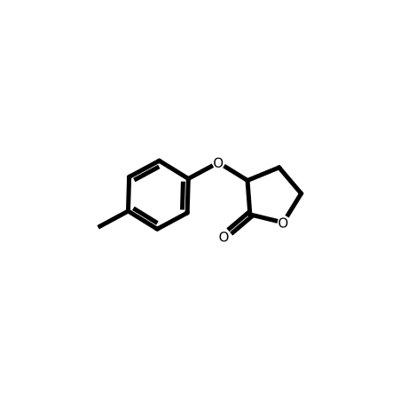 Cc1ccc(OC2CCOC2=O)cc1